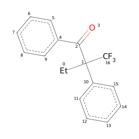 [CH2]CC(C(=O)c1ccccc1)(c1ccccc1)C(F)(F)F